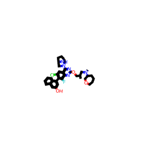 CC(COc1nc(N2CC3CCC(C2)N3)c2cc(Cl)c(-c3cc(O)cc4ccccc34)c(F)c2n1)CN(C)C1CCCCOC1